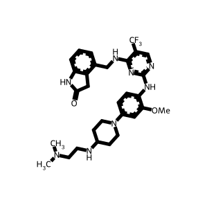 COc1cc(N2CCC(NCCN(C)C)CC2)ccc1Nc1ncc(C(F)(F)F)c(NCc2cccc3c2CC(=O)N3)n1